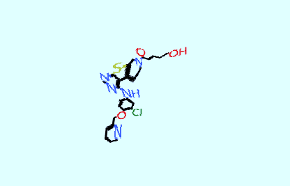 O=C(C=CCCO)N1CCc2c(sc3ncnc(Nc4ccc(OCc5ccccn5)c(Cl)c4)c23)C1